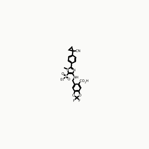 CCS(=O)(=O)c1c(NCc2cc3c(cc2C(=O)O)OC(F)(F)O3)nc(-c2ccc(C3(C#N)CC3)cc2)n1C